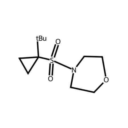 CC(C)(C)C1(S(=O)(=O)N2CCOCC2)CC1